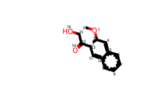 COC(C)/C=c1/cccc/c1=C/CC(=O)CO